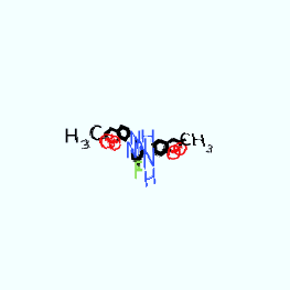 CC1Cc2ccc(Nc3ncc(F)c(Nc4ccc5c(c4)OOC(C)C5)n3)cc2OO1